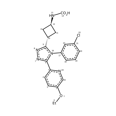 CCOc1ccc(-c2nnc([C@H]3C[C@H](NC(=O)O)C3)n2-c2cccc(Cl)c2)nc1